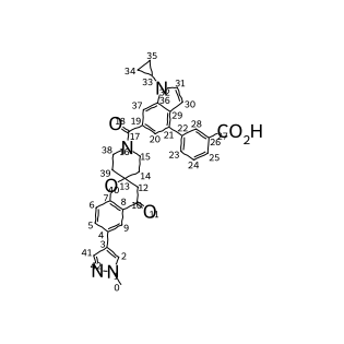 Cn1cc(-c2ccc3c(c2)C(=O)CC2(CCN(C(=O)c4cc(-c5cccc(C(=O)O)c5)c5ccn(C6CC6)c5c4)CC2)O3)cn1